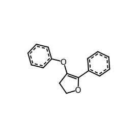 c1ccc(OC2=C(c3ccccc3)OCC2)cc1